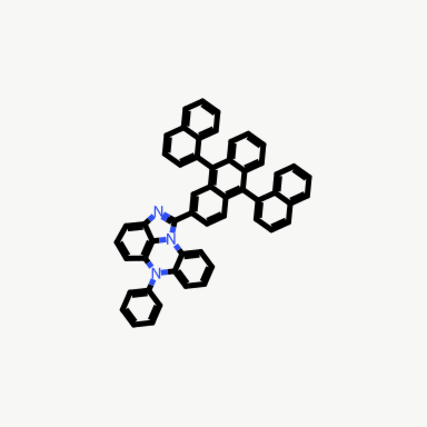 c1ccc(N2c3ccccc3-n3c(-c4ccc5c(-c6cccc7ccccc67)c6ccccc6c(-c6cccc7ccccc67)c5c4)nc4cccc2c43)cc1